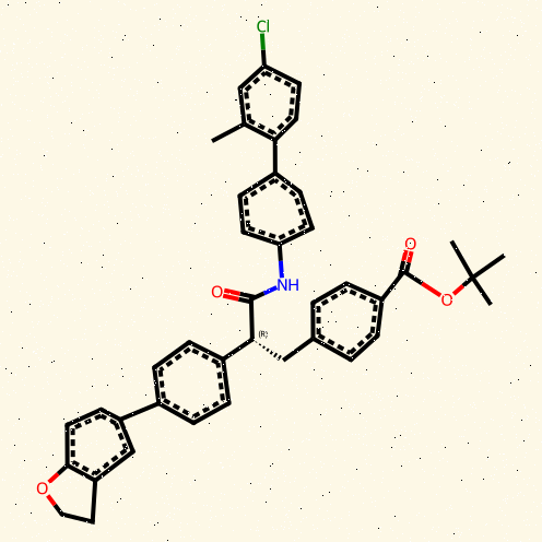 Cc1cc(Cl)ccc1-c1ccc(NC(=O)[C@H](Cc2ccc(C(=O)OC(C)(C)C)cc2)c2ccc(-c3ccc4c(c3)CCO4)cc2)cc1